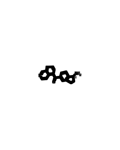 N[C@H]1CCc2cc(C(=O)c3cccc4cnccc34)ccc21